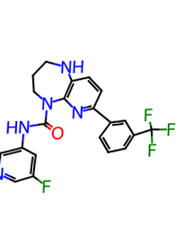 O=C(Nc1cncc(F)c1)N1CCCNc2ccc(-c3cccc(C(F)(F)F)c3)nc21